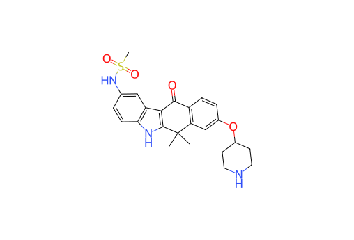 CC1(C)c2cc(OC3CCNCC3)ccc2C(=O)c2c1[nH]c1ccc(NS(C)(=O)=O)cc21